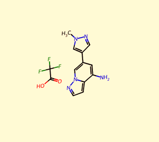 Cn1cc(-c2cc(N)c3ccnn3c2)cn1.O=C(O)C(F)(F)F